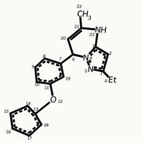 CCc1cc2n(n1)C(c1cccc(Oc3ccccc3)c1)C=C(C)N2